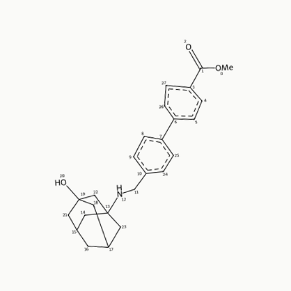 COC(=O)c1ccc(-c2ccc(CNC34CC5CC(CC(O)(C5)C3)C4)cc2)cc1